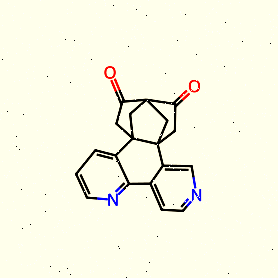 O=C1CC23CC14CC2(CC4=O)c1cccnc1-c1ccncc13